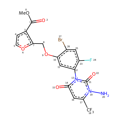 COC(=O)c1ccoc1COc1cc(-n2c(=O)cc(C(F)(F)F)n(N)c2=O)c(F)cc1Br